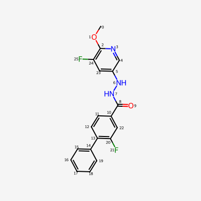 COc1ncc(NNC(=O)c2ccc(-c3ccccc3)c(F)c2)cc1F